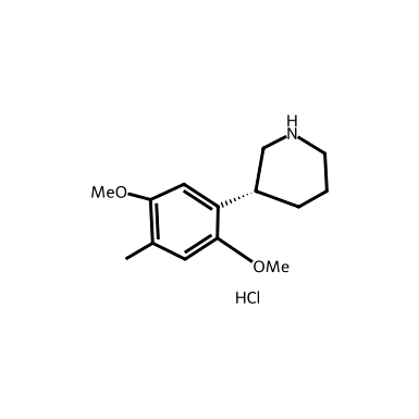 COc1cc([C@H]2CCCNC2)c(OC)cc1C.Cl